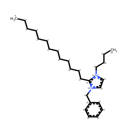 CCCCCCCCCCCCCc1n(Cc2ccccc2)cc[n+]1CCCC